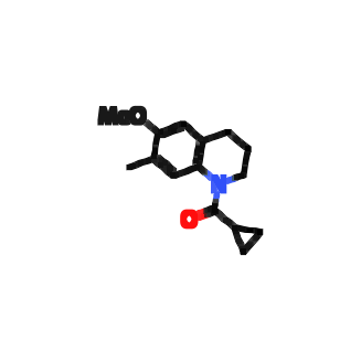 COc1cc2c(cc1C)N(C(=O)C1CC1)CCC2